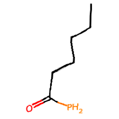 CCCCCC(=O)P